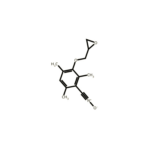 Cc1cc(C)c(OCC2CO2)c(C)c1C#[N+][O-]